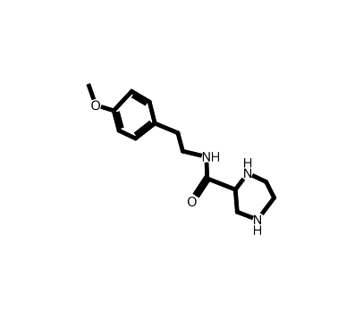 COc1ccc(CCNC(=O)C2CNCCN2)cc1